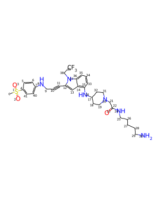 CS(=O)(=O)c1ccc(NCC#Cc2cc3c(NC4CCN(CC(=O)NCCCCCN)CC4)cccc3n2CC(F)(F)F)cc1